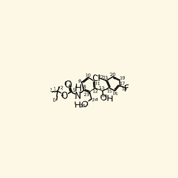 CC(C)(C)OC(=O)Nc1cccc(C(O)c2cc(F)ccc2Cl)c1CO